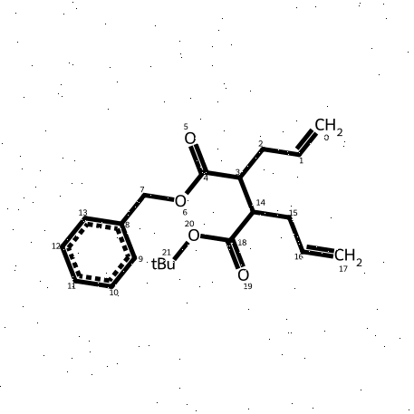 C=CCC(C(=O)OCc1ccccc1)C(CC=C)C(=O)OC(C)(C)C